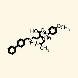 COc1ccc(S(=O)(=O)N(CC(C)C)C(CCSCc2ccc(-c3ccccc3)cc2)C(=O)O)cc1